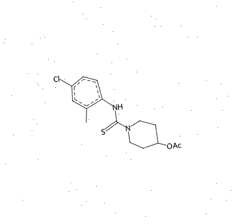 CC(=O)OC1CCN(C(=S)Nc2ccc(Cl)cc2C)CC1